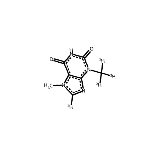 [2H]c1nc2c(c(=O)[nH]c(=O)n2C([2H])([2H])[2H])n1C